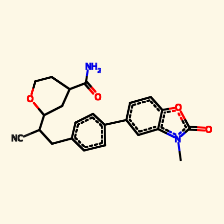 Cn1c(=O)oc2ccc(-c3ccc(CC(C#N)C4CC(C(N)=O)CCO4)cc3)cc21